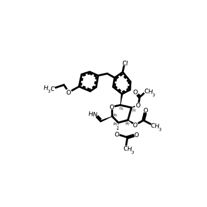 CCOc1ccc(Cc2cc([C@@H]3O[C@H](C=N)[C@@H](OC(C)=O)[C@H](OC(C)=O)[C@H]3OC(C)=O)ccc2Cl)cc1